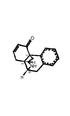 O=C1C=CC[C@H]2[C@H]3Cc4ccccc4[C@@]12CCN3